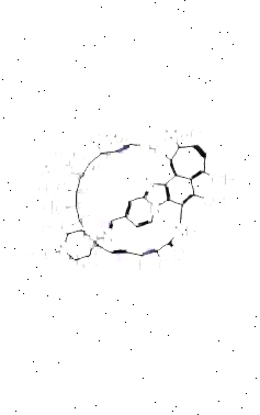 COC1C#CC(O)=c2c(O)c3c4c(nc5cc(/C=N/N6CCN(C)CC6)ccn54)c2=C1CO/C=C/[C@H](OC)[C@@H](C)[C@@H](OC(C)=O)[C@H](C)[C@H](O)[C@H](C)C[C@@H](C)/C=C/C=C(/C)C(=O)N3